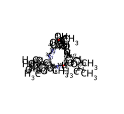 CCC(C)[C@H]1O[C@]2(C=C[C@@H]1C)C[C@@H]1C[C@@H](C/C=C(\C)[C@@H](O[C@H]3C[C@H](OC)C(N)(C[N+](=O)[O-])[C@H](C)O3)C(C)/C=C/C=C3\CO[C@@H]4[C@H](O)C(C)=C[C@@H](C(=O)O1)[C@]34O)O2